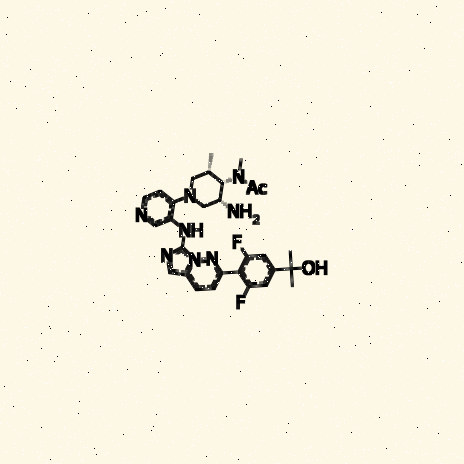 CC(=O)N(C)[C@@H]1[C@H](N)CN(c2ccncc2Nc2ncc3ccc(-c4c(F)cc(C(C)(C)O)cc4F)nn23)C[C@@H]1C